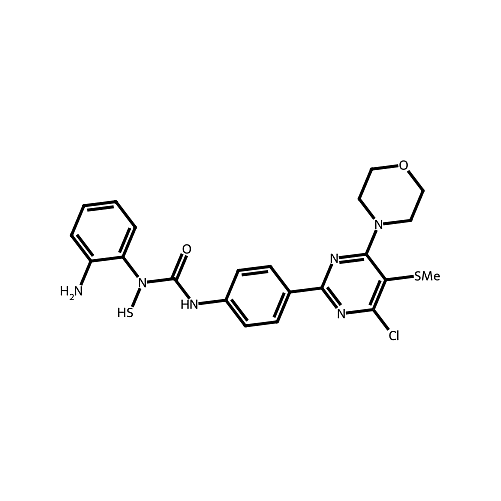 CSc1c(Cl)nc(-c2ccc(NC(=O)N(S)c3ccccc3N)cc2)nc1N1CCOCC1